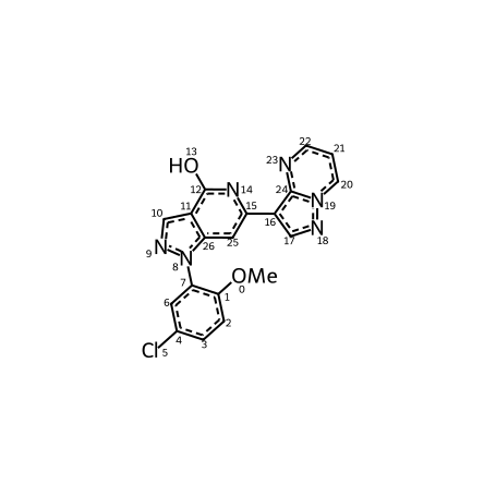 COc1ccc(Cl)cc1-n1ncc2c(O)nc(-c3cnn4cccnc34)cc21